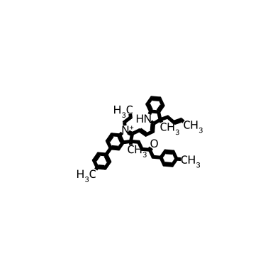 C/C=C/CC1(C)/C(=C/C=C/C2=[N+](CCC)c3ccc(-c4ccc(C)cc4)cc3C2(C)CCC(=O)CC2C=CC(C)C=C2)Nc2ccccc21